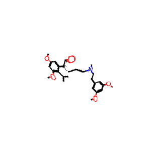 COc1cc(CCN(C)CCC[C@@H](C=O)c2cc(OC)cc(OC)c2C(C)C)cc(OC)c1